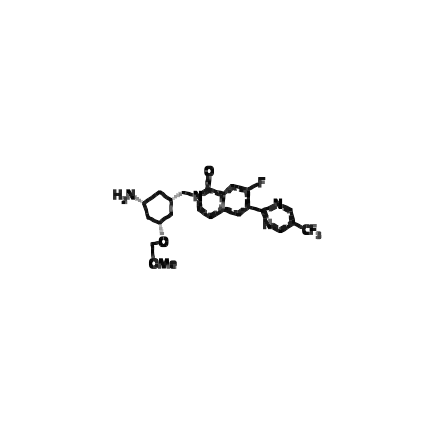 COCO[C@@H]1C[C@H](N)C[C@H](Cn2ccc3cc(-c4ncc(C(F)(F)F)cn4)c(F)cc3c2=O)C1